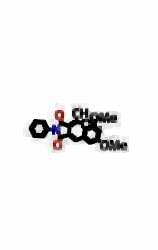 COc1cc(/C=C2/C(=O)N(c3ccccc3)C(=O)C2=C(C)C)cc(OC)c1